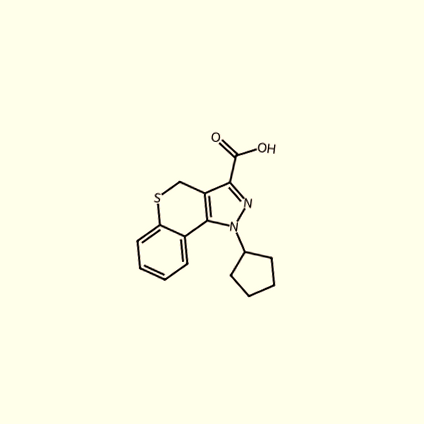 O=C(O)c1nn(C2CCCC2)c2c1CSc1ccccc1-2